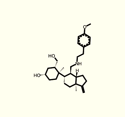 C=C1CC[C@H]2[C@H](CNCCc3ccc(OC)cc3)[C@@H]([C@@]3(C)CC[C@H](O)C[C@@H]3CO)CC[C@]12C